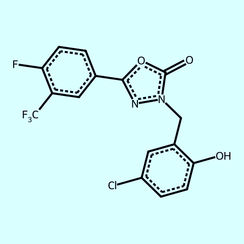 O=c1oc(-c2ccc(F)c(C(F)(F)F)c2)nn1Cc1cc(Cl)ccc1O